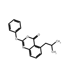 CC(C)Cc1cccc2nc(Oc3ccccc3)oc(=O)c12